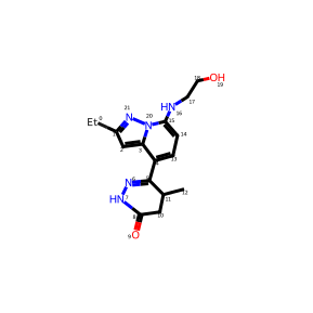 CCc1cc2c(C3=NNC(=O)CC3C)ccc(NCCO)n2n1